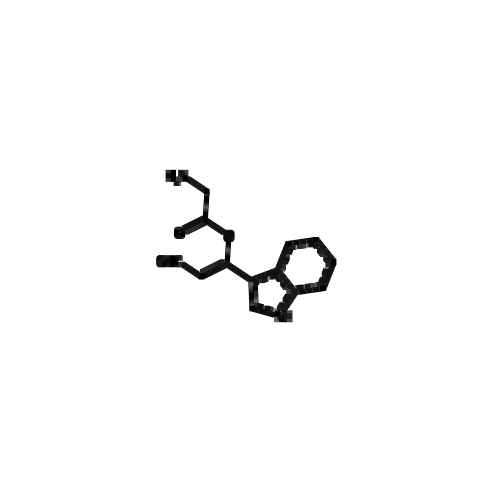 NCC(=O)OC(=CC=O)c1c[nH]c2ccccc12